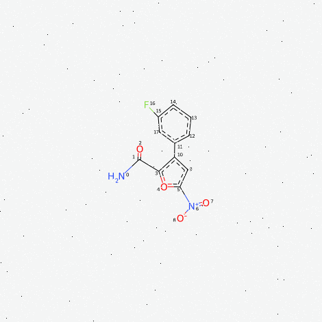 NC(=O)c1oc([N+](=O)[O-])cc1-c1cccc(F)c1